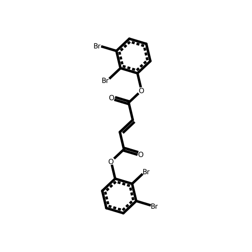 O=C(/C=C/C(=O)Oc1cccc(Br)c1Br)Oc1cccc(Br)c1Br